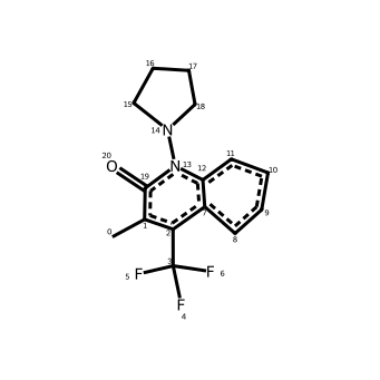 Cc1c(C(F)(F)F)c2ccccc2n(N2CCCC2)c1=O